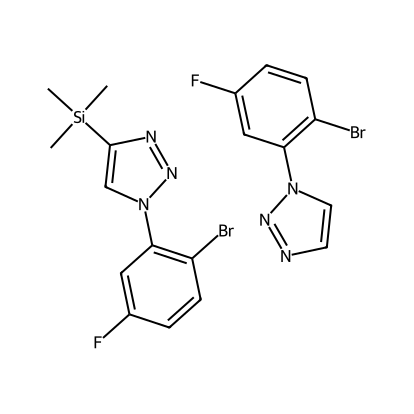 C[Si](C)(C)c1cn(-c2cc(F)ccc2Br)nn1.Fc1ccc(Br)c(-n2ccnn2)c1